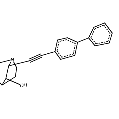 OC1C2CCN(CC2)C1C#Cc1ccc(-c2ccccc2)cc1